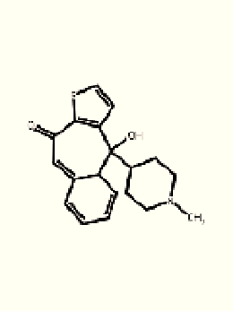 CN1CCC(C2(O)c3ccsc3C(=O)C=C3C=CC=CC32)CC1